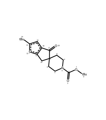 CC(C)(C)OC(=O)N1CCC2(CC1)Cc1sc(C(C)(C)C)cc1C2=O